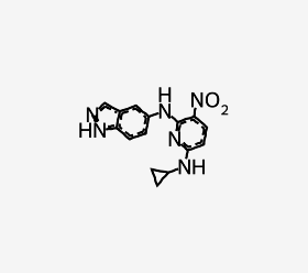 O=[N+]([O-])c1ccc(NC2CC2)nc1Nc1ccc2[nH]ncc2c1